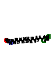 C[Si](Cl)(Cl)CCCCCCCCCCCCCCCCCN=C=O